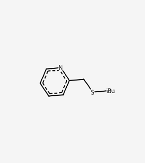 [CH2]C(CC)SCc1ccccn1